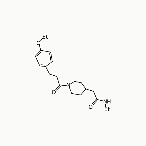 CCNC(=O)CC1CCN(C(=O)CCc2ccc(OCC)cc2)CC1